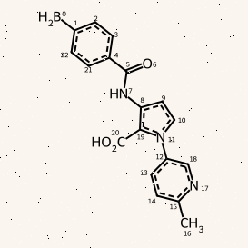 Bc1ccc(C(=O)Nc2ccn(-c3ccc(C)nc3)c2C(=O)O)cc1